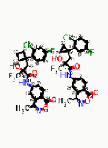 Cc1noc(=O)c2ccc(NC(=O)C(O)(CC3(c4cc(F)ccc4Cl)CC3)C(F)(F)F)cc12.Cc1noc(=O)c2ccc(NC(=O)C(O)(CC3(c4ccc(F)cc4Cl)CCC3)C(F)(F)F)cc12